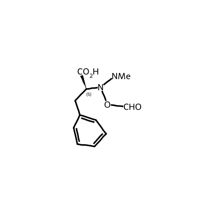 CNN(OC=O)[C@@H](Cc1ccccc1)C(=O)O